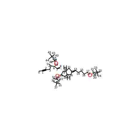 CC#CCC(C)[C@@H](/C=C/[C@@H]1[C@H]2C/C(=C/CCCCO[Si](C)(C)C(C)(C)C)C[C@H]2C[C@H]1O[Si](C)(C)C(C)(C)C)O[Si](C)(C)C(C)(C)C